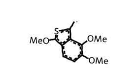 [CH2]c1sc(OC)c2ccc(OC)c(OC)c12